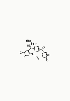 C=CCOc1cc(C)c(Cl)cc1[C@H](N[S+]([O-])C(C)(C)C)C1CCN(C(=O)c2ccc(=O)[nH]c2)CC1